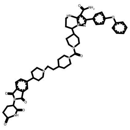 NC(=O)c1c(-c2ccc(Oc3ccccc3)cc2)nn2c1NCCC2C1CCN(C(=O)N2CCC(CCN3CCC(c4ccc5c(c4)C(=O)N(C4CCC(=O)NC4=O)C5=O)CC3)CC2)CC1